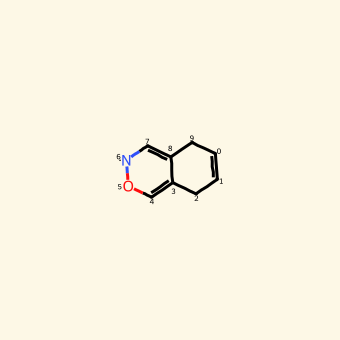 C1=CCC2=CO[N]C=C2C1